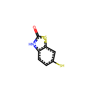 O=c1[nH]c2ccc(S)cc2s1